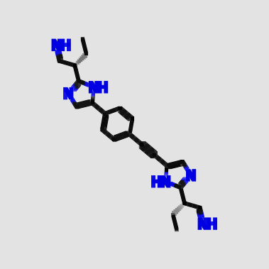 CC[C@@H](C=N)c1ncc(C#Cc2ccc(-c3cnc([C@H](C=N)CC)[nH]3)cc2)[nH]1